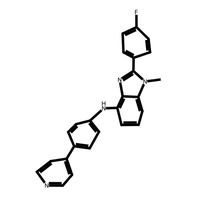 Cn1c(-c2ccc(F)cc2)nc2c(Nc3ccc(-c4ccncc4)cc3)cccc21